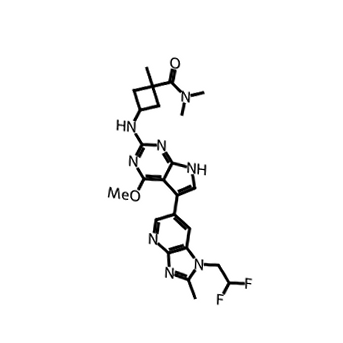 COc1nc(NC2CC(C)(C(=O)N(C)C)C2)nc2[nH]cc(-c3cnc4nc(C)n(CC(F)F)c4c3)c12